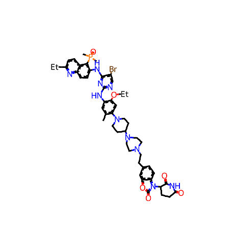 CCOc1cc(N2CCC(N3CCN(CCc4ccc5c(c4)oc(=O)n5C4CCC(=O)NC4=O)CC3)CC2)c(C)cc1Nc1ncc(Br)c(Nc2ccc3nc(CC)ccc3c2P(C)(C)=O)n1